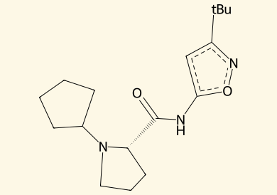 CC(C)(C)c1cc(NC(=O)[C@@H]2CCCN2C2CCCC2)on1